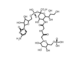 Nc1ccn(C2OC(COP(=O)(O)OC3(C(=O)O)CC(O)C(NC(=O)CNC(=O)C[C@H]4OC(COP(=O)(O)O)[C@@H](O)[C@H](O)C4O)C([C@H](O)[C@H](O)CO)O3)C(O)C2O)c(=O)n1